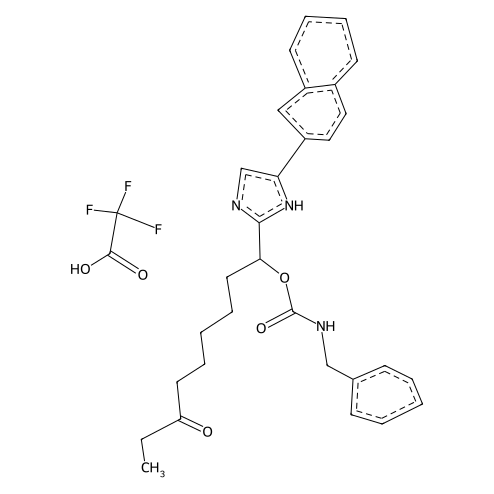 CCC(=O)CCCCCC(OC(=O)NCc1ccccc1)c1ncc(-c2ccc3ccccc3c2)[nH]1.O=C(O)C(F)(F)F